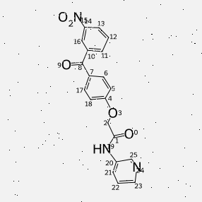 O=C(COc1ccc(C(=O)c2cccc([N+](=O)[O-])c2)cc1)Nc1cccnc1